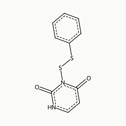 O=c1cc[nH]c(=O)n1SSc1ccccc1